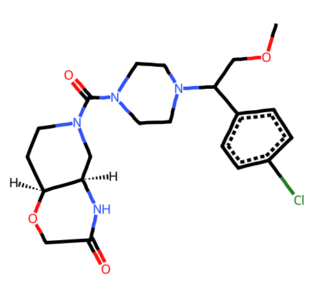 COCC(c1ccc(Cl)cc1)N1CCN(C(=O)N2CC[C@@H]3OCC(=O)N[C@@H]3C2)CC1